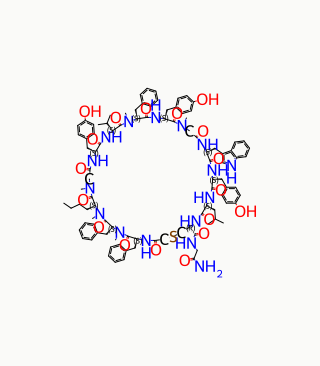 CCCC[C@H]1C(=O)N(C)CC(=O)N[C@@H](Cc2ccc(O)cc2)C(=O)N[C@@H](C(C)C)C(=O)N(C)[C@@H](Cc2ccccc2)C(=O)N[C@@H](Cc2ccc(O)cc2)C(=O)N(C)CC(=O)N[C@@H](Cc2c[nH]c3ccccc23)C(=O)N[C@@H](Cc2ccc(O)cc2)C(=O)N[C@@H](CC(C)C)C(=O)N[C@H](C(=O)NCC(N)=O)CSCC(=O)N[C@@H](Cc2ccccc2)C(=O)N(C)[C@@H](Cc2ccccc2)C(=O)N1C